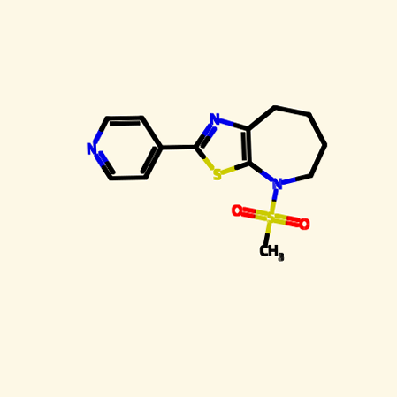 CS(=O)(=O)N1CCCCc2nc(-c3ccncc3)sc21